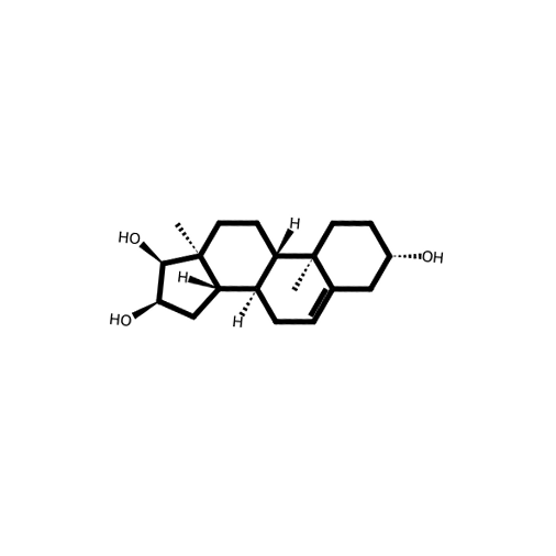 C[C@]12CC[C@H]3[C@@H](CC=C4C[C@@H](O)CC[C@@]43C)[C@@H]1C[C@@H](O)[C@H]2O